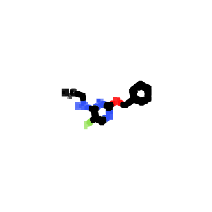 CCNc1nc(OCc2ccccc2)ncc1F